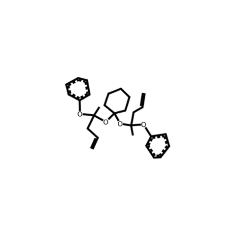 C=CCC(C)(Oc1ccccc1)OC1(OC(C)(CC=C)Oc2ccccc2)CCCCC1